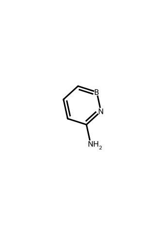 Nc1cccbn1